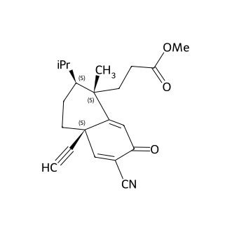 C#C[C@]12C=C(C#N)C(=O)C=C1[C@@](C)(CCC(=O)OC)[C@H](C(C)C)CC2